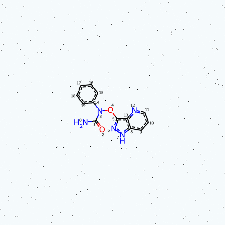 NC(=O)N(Oc1n[nH]c2cccnc12)c1ccccc1